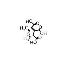 C=COC.O=C(O)C=C(CC(=O)O)C(=O)O